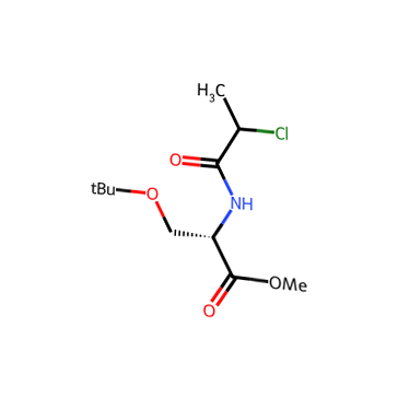 COC(=O)[C@H](COC(C)(C)C)NC(=O)C(C)Cl